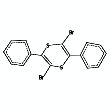 BrC1=C(c2ccccc2)SC(Br)=C(c2ccccc2)S1